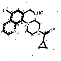 O=CCc1cc(Cl)c2cccnc2c1N1CCN(C(=O)C2CC2)CC1